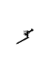 CCCCCCCCCCCCCCCC(C)CCC(COP(O)OCCCCN(C)C)OC=O